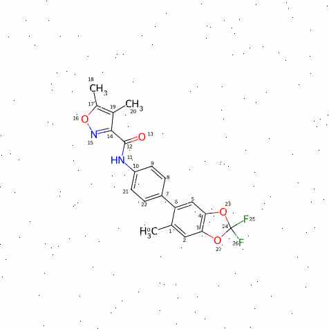 Cc1cc2c(cc1-c1ccc(NC(=O)c3noc(C)c3C)cc1)OC(F)(F)O2